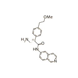 COCCc1ccc([C@@H](CN)C(=O)Nc2ccc3cnccc3c2)cc1